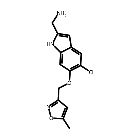 Cc1cc(COc2cc3[nH]c(CN)cc3cc2Cl)no1